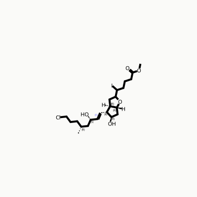 COC(=O)CCCC(I)C1C[C@@H]2[C@@H](/C=C/[C@@H](O)C[C@H](C)CCCCl)[C@H](O)C[C@H]2O1